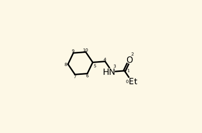 [CH2]CC(=O)NCC1CCCCC1